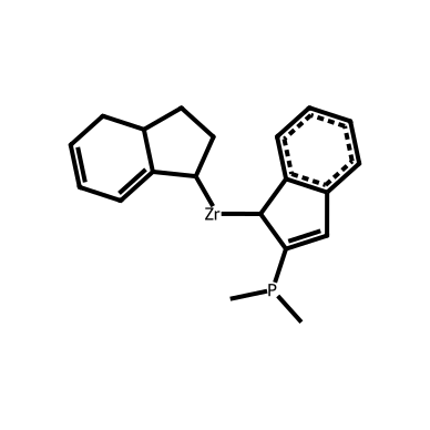 CP(C)C1=Cc2ccccc2[CH]1[Zr][CH]1CCC2CC=CC=C21